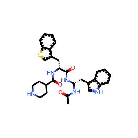 CC(=O)N[C@@H](Cc1c[nH]c2ccccc12)NC(=O)[C@@H](Cc1csc2ccccc12)NC(=O)C1CCNCC1